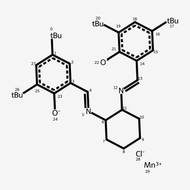 CC(C)(C)c1cc(C=NC2CCCCC2N=Cc2cc(C(C)(C)C)cc(C(C)(C)C)c2[O-])c([O-])c(C(C)(C)C)c1.[Cl-].[Mn+3]